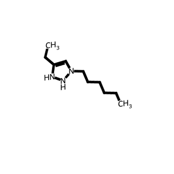 CCCCCCN1C=C(CC)NN1